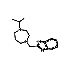 CC(C)N1CCCN(Cc2nc3ccccc3[nH]2)CC1